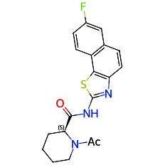 CC(=O)N1CCCC[C@H]1C(=O)Nc1nc2ccc3cc(F)ccc3c2s1